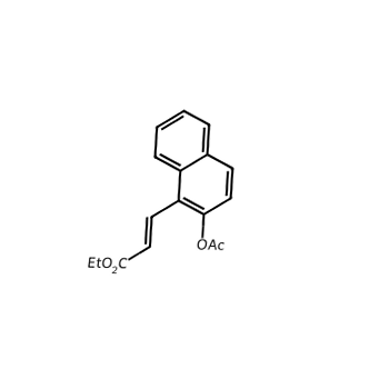 CCOC(=O)C=Cc1c(OC(C)=O)ccc2ccccc12